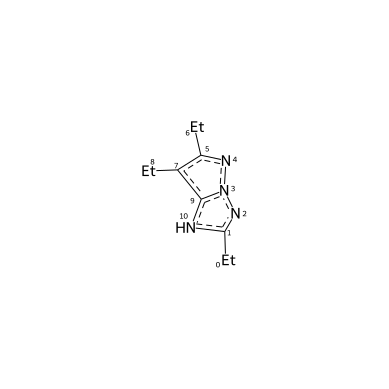 CCc1nn2nc(CC)c(CC)c2[nH]1